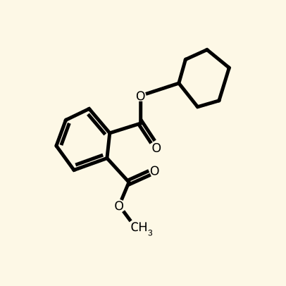 COC(=O)c1ccccc1C(=O)OC1CCCCC1